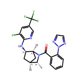 C[C@@H]1[C@H]2C[C@@H](Nc3ncc(C(F)(F)F)cc3F)[C@H](C2)N1C(=O)c1ccccc1-n1nccn1